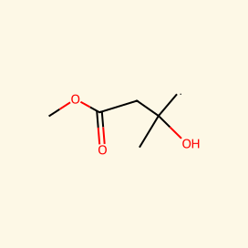 [CH2]C(C)(O)CC(=O)OC